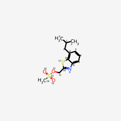 CC(C)Cc1cccc2nc(COS(C)(=O)=O)sc12